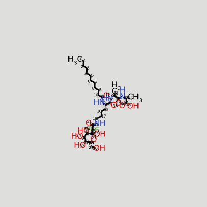 CCCCCCCCCCCC(=O)N[C@@H](CCCCNC(=O)C(F)(F)[C@]1(O)O[C@H](CO)[C@H](O)[C@H](O)[C@H]1O)C(=O)N[C@@H](C)C(=O)N[C@@H](C)C(=O)O